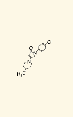 CC1CCN(C2=CC(=O)N(c3ccc(Cl)cc3)C2)CC1